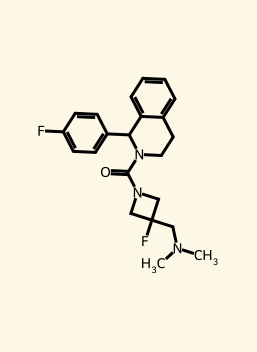 CN(C)CC1(F)CN(C(=O)N2CCc3ccccc3C2c2ccc(F)cc2)C1